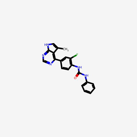 Cc1c[nH]c2ncnc(-c3ccc(NC(=O)Nc4ccccc4)c(F)c3)c12